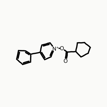 O=C(O[n+]1ccc(-c2ccccc2)cc1)C1CCCCC1